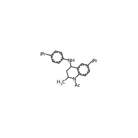 CC(=O)N1c2ccc(C(C)C)cc2C(Nc2ccc(C(C)C)cc2)CC1C